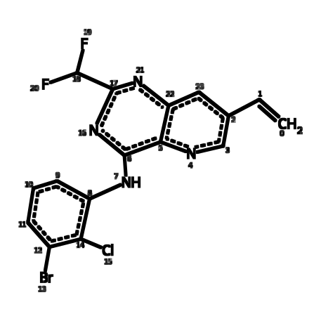 C=Cc1cnc2c(Nc3cccc(Br)c3Cl)nc(C(F)F)nc2c1